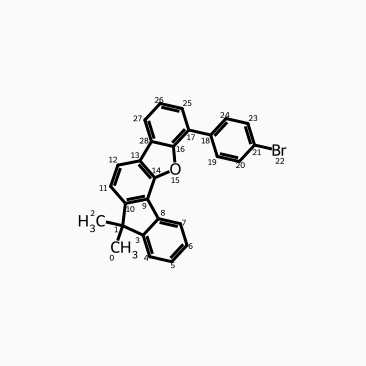 CC1(C)c2ccccc2-c2c1ccc1c2oc2c(-c3ccc(Br)cc3)cccc21